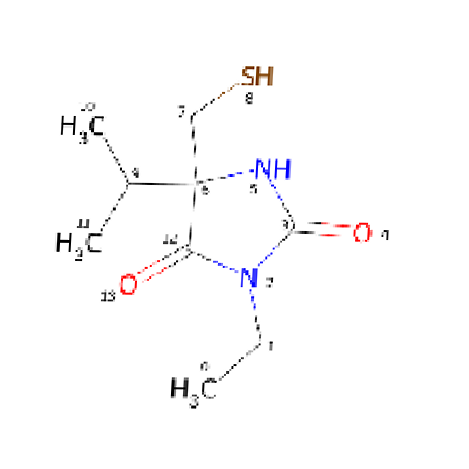 CCN1C(=O)NC(CS)(C(C)C)C1=O